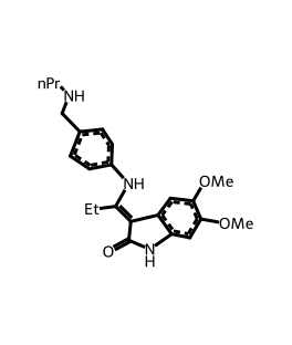 CCCNCc1ccc(N/C(CC)=C2/C(=O)Nc3cc(OC)c(OC)cc32)cc1